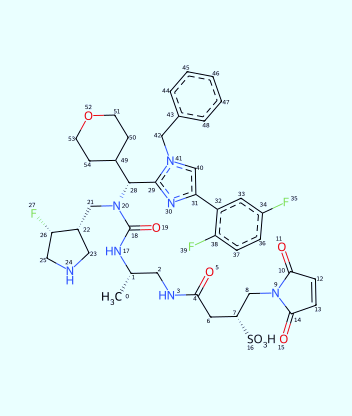 C[C@@H](CNC(=O)C[C@H](CN1C(=O)C=CC1=O)S(=O)(=O)O)NC(=O)N(C[C@@H]1CNC[C@@H]1F)[C@@H](c1nc(-c2cc(F)ccc2F)cn1Cc1ccccc1)C1CCOCC1